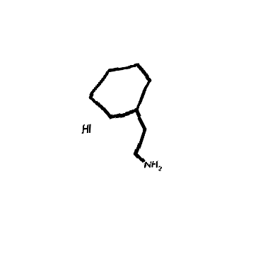 I.NCCC1CCCCC1